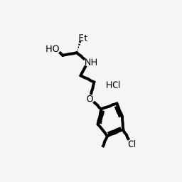 CC[C@@H](CO)NCCOc1ccc(Cl)c(C)c1.Cl